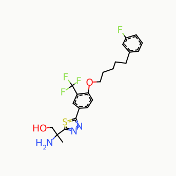 CC(N)(CO)c1nnc(-c2ccc(OCCCCCc3cccc(F)c3)c(C(F)(F)F)c2)s1